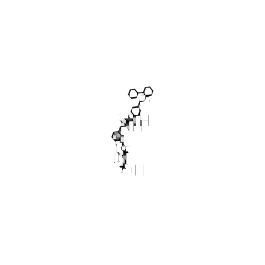 O=C(O)CNC(=O)OC[n+]1cccc(CNC(=O)Nc2ccc(COc3ccccc3-c3ccccc3)cc2)c1